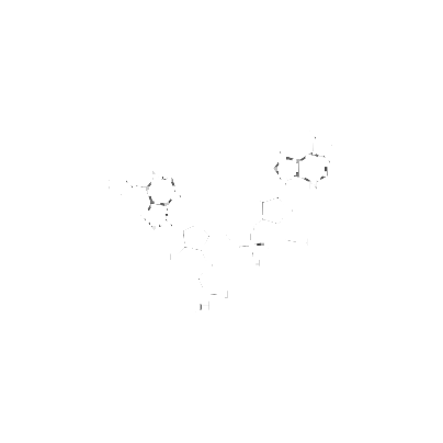 Nc1ncnc2c1ncn2[C@@H]1O[C@H](COP(=O)(S)OC2C(F)[C@H](n3cnc4c(N)ncnc43)O[C@@H]2CO)C(OC[PH](=O)S)C1F